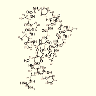 CC[C@H](C)[C@H](NC(=O)CNC(=O)[C@H](Cc1ccccc1)NC(=O)CNC(=O)CNC(=O)[C@H](CO)NC(=O)[C@H](CO)NC(=O)[C@@H](NC(=O)[C@@H]1CCCN1C(=O)[C@@H](NC(=O)CN)C(C)C)[C@@H](C)CC)C(=O)N[C@@H](CO)C(=O)NCC(=O)N[C@@H](CC(C)C)C(=O)NCC(=O)N[C@@H](CO)C(=O)N[C@@H](CCCNC(=N)N)C(=O)N[C@@H](Cc1ccccc1)C(=O)O